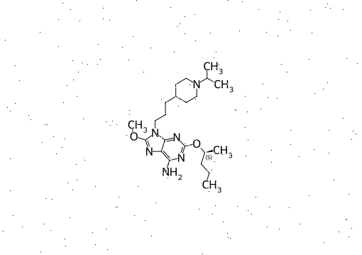 CCC[C@H](C)Oc1nc(N)c2nc(OC)n(CCCC3CCN(C(C)C)CC3)c2n1